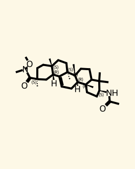 CON(C)C(=O)[C@@]1(C)CC[C@]2(C)CC[C@]3(C)C(=CC[C@@H]4[C@@]5(C)CC[C@H](NC(C)=O)C(C)(C)C5CC[C@]43C)[C@@H]2C1